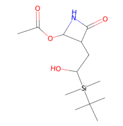 CC(=O)OC1NC(=O)C1CC(O)[Si](C)(C)C(C)(C)C